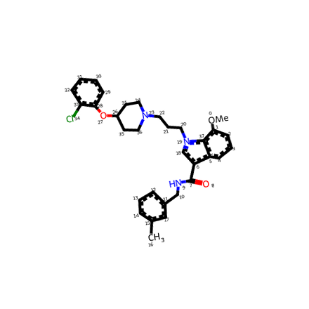 COc1cccc2c(C(=O)NCc3cccc(C)c3)cn(CCCN3CCC(Oc4ccccc4Cl)CC3)c12